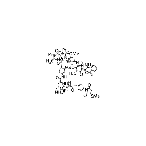 CC[C@H](C)[C@H]([C@@H](CC(=O)N1CCC[C@H]1[C@H](OC)[C@@H](C)C(=O)N[C@H](C)[C@@H](O)c1ccccc1)OC)N(C)C(=O)[C@@H](NC(=O)[C@H](C(C)C)N(C)C(=O)OCc1ccc(NC(=O)[C@H](CCCN)NC(=O)[C@@H](NC(=O)Cc2ccc(N3C(=O)CC(SC)C3=O)cc2)C(C)C)cc1)C(C)C